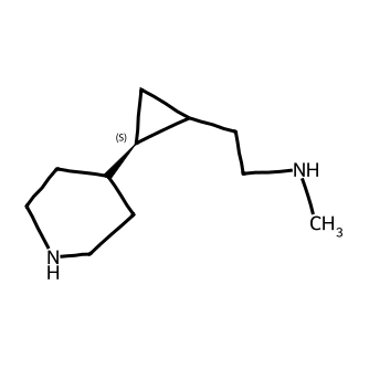 CNCCC1C[C@@H]1C1CCNCC1